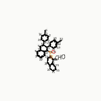 Cc1ccc(-c2cc3ccccc3c([PH](=O)c3ccc4ccccc4c3C=O)c2-c2ccc(C)cc2)cc1